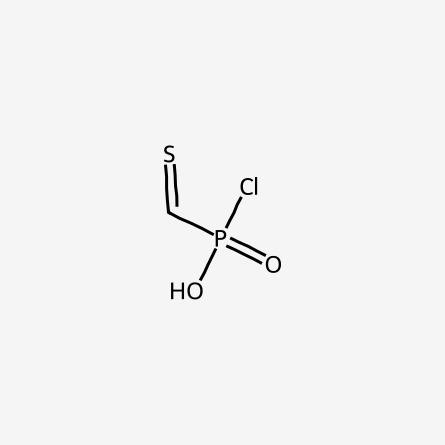 O=P(O)(Cl)C=S